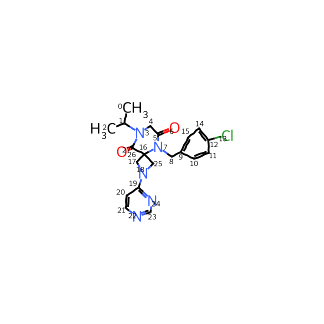 CC(C)N1CC(=O)N(Cc2ccc(Cl)cc2)C2(CN(c3ccncn3)C2)C1=O